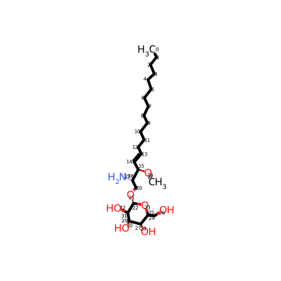 CCCCCCCCCCCCC/C=C/[C@@H](OC)[C@@H](N)CO[C@@H]1OC(CO)[C@@H](O)C(O)C1O